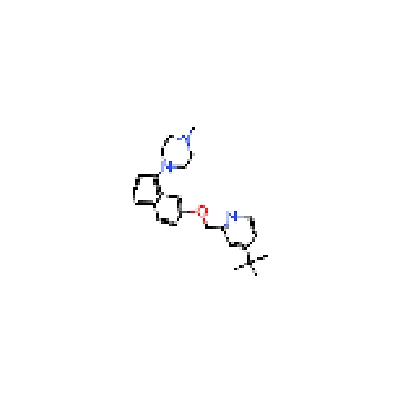 CN1CCN(c2cccc3ccc(OCc4cc(C(C)(C)C)ccn4)cc23)CC1